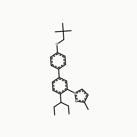 CCC(CC)c1ccc(-c2ccc(OCC(C)(C)C)cc2)cc1-n1ccc(C)n1